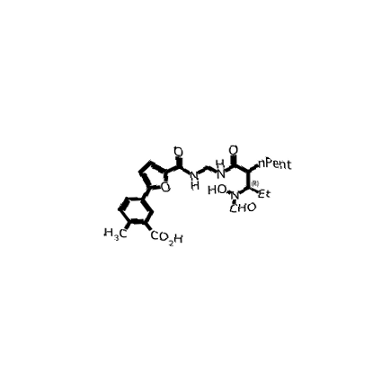 CCCCCC(C(=O)NCNC(=O)c1ccc(-c2ccc(C)c(C(=O)O)c2)o1)[C@@H](CC)N(O)C=O